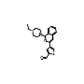 CCN1CCN(c2nc(-c3csc(C=O)c3)cc3ccccc23)CC1